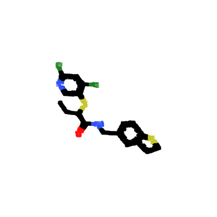 CCC(Sc1cnc(Cl)cc1Cl)C(=O)NCc1ccc2sccc2c1